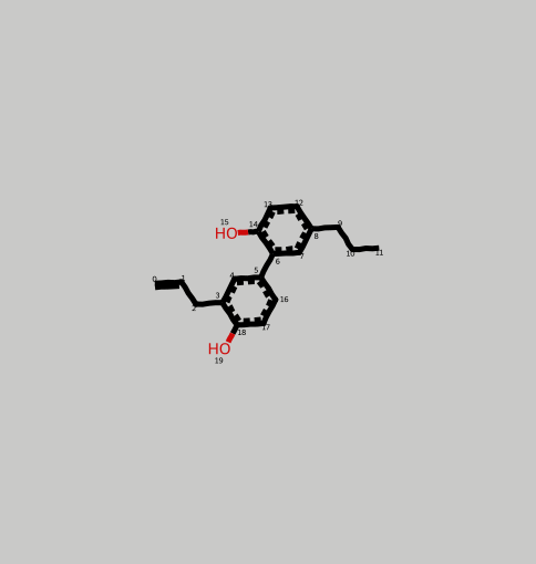 C=CCc1cc(-c2cc(CCC)ccc2O)ccc1O